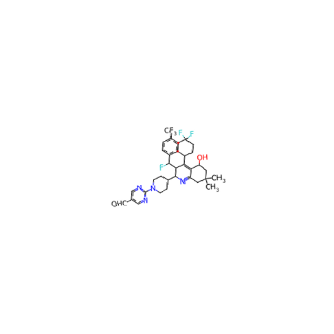 CC1(C)CC2=NC(C3CCN(c4ncc(C=O)cn4)CC3)C(C(F)c3ccc(C(F)(F)F)cc3)C(C3CCC(F)(F)CC3)=C2C(O)C1